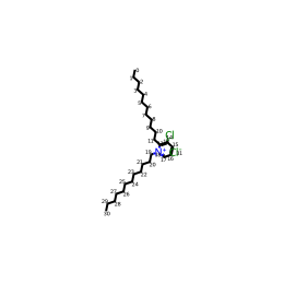 CCCCCCCCCCCCc1c(Cl)ccc[n+]1CCCCCCCCCCCC.[Cl-]